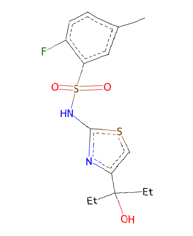 CCC(O)(CC)c1csc(NS(=O)(=O)c2cc(C)ccc2F)n1